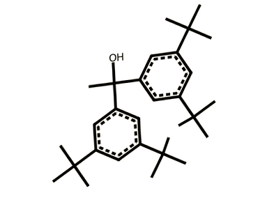 CC(C)(C)c1cc(C(C)(C)C)cc(C(C)(O)c2cc(C(C)(C)C)cc(C(C)(C)C)c2)c1